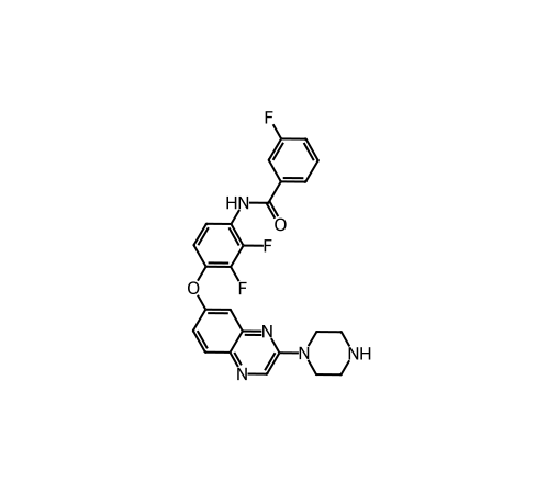 O=C(Nc1ccc(Oc2ccc3ncc(N4CCNCC4)nc3c2)c(F)c1F)c1cccc(F)c1